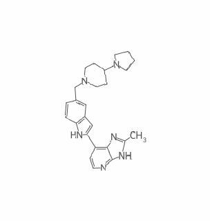 Cc1nc2c(-c3cc4cc(CN5CCC(N6CCCC6)CC5)ccc4[nH]3)ccnc2[nH]1